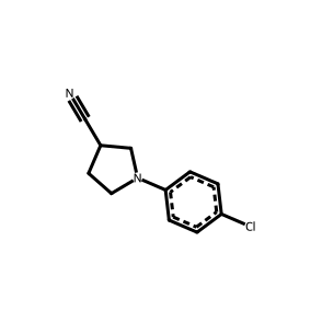 N#CC1CCN(c2ccc(Cl)cc2)C1